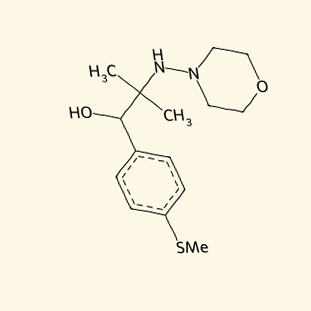 CSc1ccc(C(O)C(C)(C)NN2CCOCC2)cc1